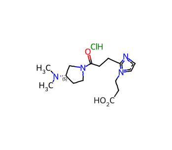 CN(C)[C@H]1CCN(C(=O)CCc2nccn2CCC(=O)O)C1.Cl